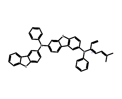 C=C/C(=C\C=C(C)C)N(c1ccccc1)c1ccc2sc3cc(N(c4ccccc4)c4ccc5sc6ccccc6c5c4)ccc3c2c1